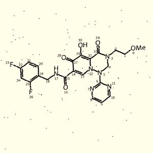 COCCN1CN(c2ncccn2)n2cc(C(=O)NCc3ccc(F)cc3F)c(=O)c(O)c2C1=O